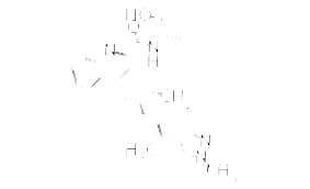 C=C/C(=C\C=C(/C)c1cnn(C)c1)Cc1cc(C(=O)N[C@H]2CCCC[C@@H]2O)nc2ccccc12